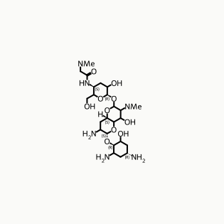 CNCC(=O)N[C@H]1CC(O)[C@@H](OC2O[C@H]3CC(N)[C@@H](O[C@@H]4C(N)C[C@@H](N)CC4O)OC3C(O)C2NC)OC1CO